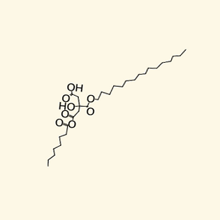 CCCCCCCCCCCCCCCCOC(=O)C(O)(CC(=O)O)CC(=O)OC(=O)CCCCCCC